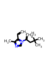 C=Cc1c(C)ncn1C(=C)CC(C)(C)C